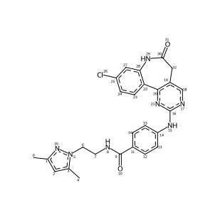 Cc1cc(C)n(CCNC(=O)c2ccc(Nc3ncc4c(n3)-c3ccc(Cl)cc3NC(=O)C4)cc2)n1